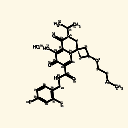 COCCO[C@H]1C[C@]2(CN(C(C)C)C(=O)c3c(O)c(=O)c(C(=O)NCc4ccc(F)cc4F)cn32)C1.Cl